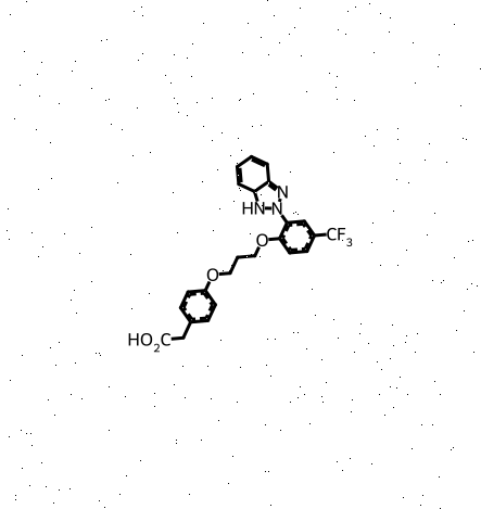 O=C(O)Cc1ccc(OCCCOc2ccc(C(F)(F)F)cc2N2N=C3C=CC=CC3N2)cc1